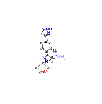 Nc1nc2cc(-c3cc[nH]n3)ccc2c2nn(C3CCCOC3)cc12